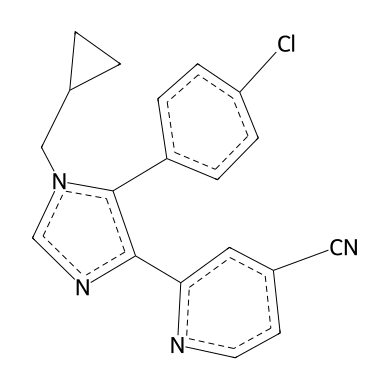 N#Cc1ccnc(-c2ncn(CC3CC3)c2-c2ccc(Cl)cc2)c1